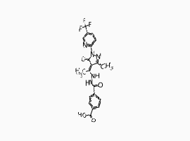 CC1=NN(c2ccc(C(F)(F)F)cn2)C(=O)C1=C(C)NNC(=O)c1ccc(C(=O)O)cc1